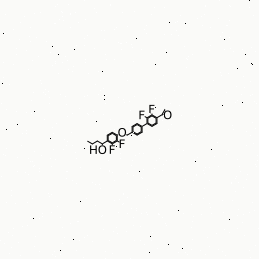 CCCC(O)c1ccc(OCc2ccc(-c3ccc(C4CO4)c(F)c3F)cc2)c(F)c1F